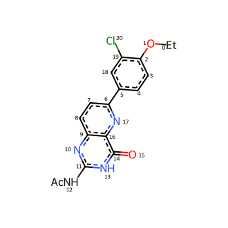 CCOc1ccc(-c2ccc3nc(NC(C)=O)[nH]c(=O)c3n2)cc1Cl